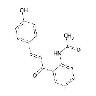 CC(=O)Nc1cc[c]cc1C(=O)C=Cc1ccc(O)cc1